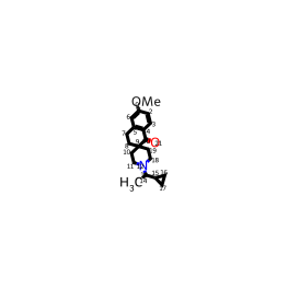 COc1ccc2c(c1)CCC1(CCN(C(C)C3CC3)CC1)C2=O